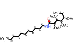 CC(=O)OC[C@@H](OC(C)=O)[C@@H](OC(C)=O)[C@H](OC(C)=O)[C@@H](OC(C)=O)C(=O)NCCCCCCCCCCC(=O)O